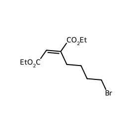 CCOC(=O)/C=C(\CCCCBr)C(=O)OCC